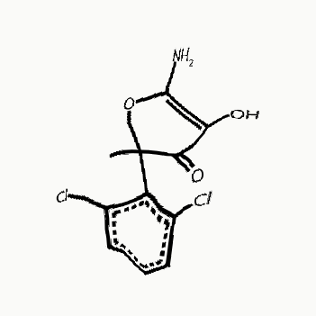 CC1(c2c(Cl)cccc2Cl)OC(N)=C(O)C1=O